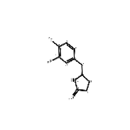 O=C1CCC(Cc2ccc(F)c(F)c2)N1